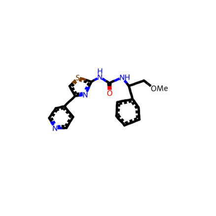 COCC(NC(=O)Nc1nc(-c2ccncc2)cs1)c1ccccc1